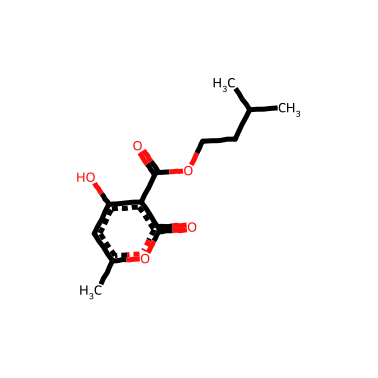 Cc1cc(O)c(C(=O)OCCC(C)C)c(=O)o1